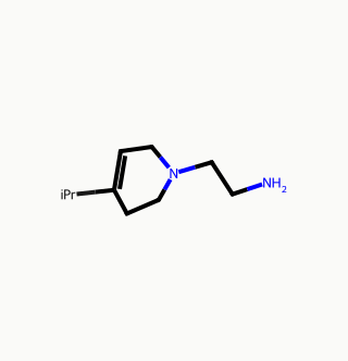 CC(C)C1=CCN(CCN)CC1